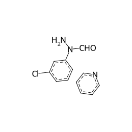 NN(C=O)c1cccc(Cl)c1.c1ccncc1